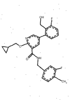 Cc1ccc(CNC(=O)c2cc(-c3cccc(F)c3CO)cnc2OCC2CC2)cc1F